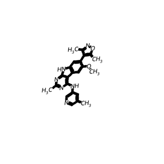 COc1cc2c(cc1-c1c(C)noc1C)[nH]c1nc(C)nc(Nc3cncc(C)c3)c12